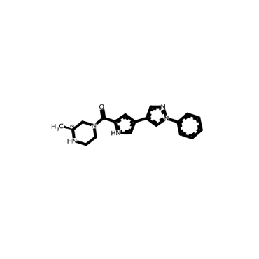 C[C@H]1CN(C(=O)c2cc(-c3cnn(-c4ccccc4)c3)c[nH]2)CCN1